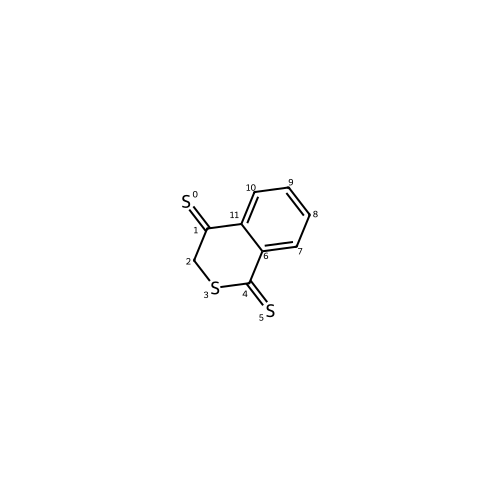 S=C1CSC(=S)c2ccccc21